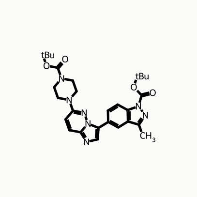 Cc1nn(C(=O)OC(C)(C)C)c2ccc(-c3cnc4ccc(N5CCN(C(=O)OC(C)(C)C)CC5)nn34)cc12